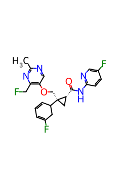 Cc1ncc(OC[C@@]2(C3C=CC=C(F)C3)C[C@H]2C(=O)Nc2ccc(F)cn2)c(CF)n1